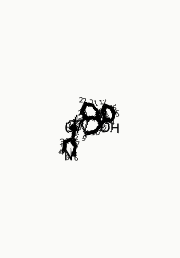 O=C(c1ccncc1)N1CC[C@](O)(c2ccccc2)[C@H]2CCCC[C@H]21